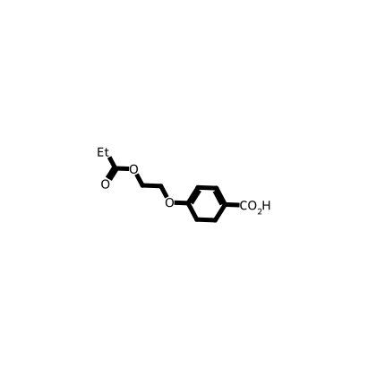 CCC(=O)OCCOC1=CC=C(C(=O)O)CC1